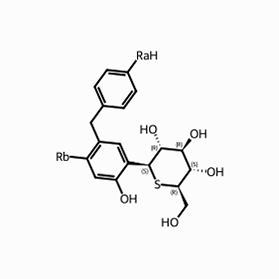 OC[C@H]1S[C@@H](c2cc(Cc3cc[c]([RaH])cc3)[c]([Rb])cc2O)[C@H](O)[C@@H](O)[C@@H]1O